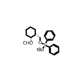 CC(C)(C)[Si](OC[C@H]1CCCC[C@H]1C=O)(c1ccccc1)c1ccccc1